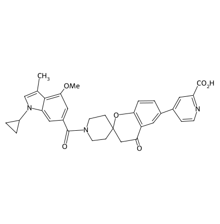 COc1cc(C(=O)N2CCC3(CC2)CC(=O)c2cc(-c4ccnc(C(=O)O)c4)ccc2O3)cc2c1c(C)cn2C1CC1